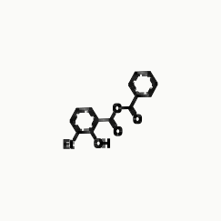 CCc1cccc(C(=O)OC(=O)c2ccccc2)c1O